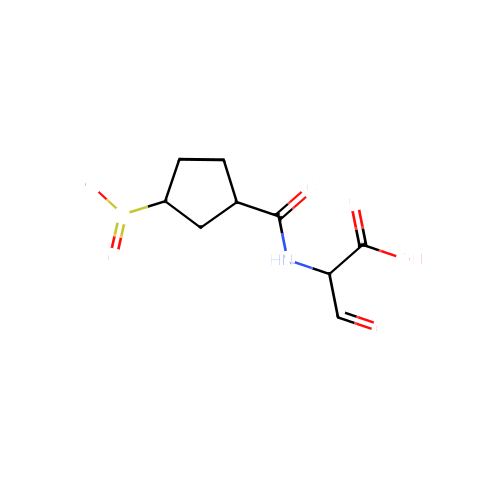 O=CC(NC(=O)C1CCC(S(=O)O)C1)C(=O)O